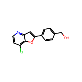 OCc1ccc(-c2cc3nccc(Cl)c3o2)cc1